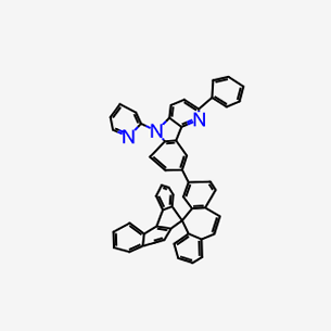 C1=Cc2ccc(-c3ccc4c(c3)c3nc(-c5ccccc5)ccc3n4-c3ccccn3)cc2C2(c3ccccc31)c1ccccc1-c1c2ccc2ccccc12